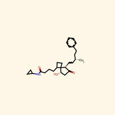 C[C@H](/C=C/[C@H]1C(=O)C[C@H](O)C12CCC2CCCC(=O)NC1CC1)CCc1ccccc1